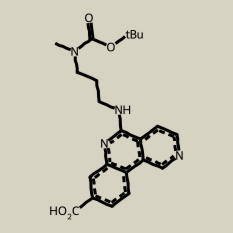 CN(CCCNc1nc2cc(C(=O)O)ccc2c2cnccc12)C(=O)OC(C)(C)C